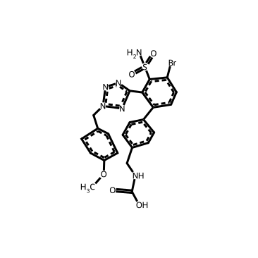 COc1ccc(Cn2nnc(-c3c(-c4ccc(CNC(=O)O)cc4)ccc(Br)c3S(N)(=O)=O)n2)cc1